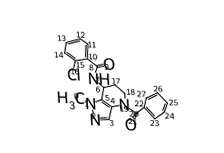 Cn1ncc2c1C(NC(=O)c1ccccc1Cl)CCN2C(=O)c1ccccc1